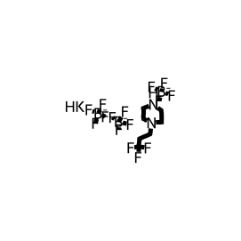 FC(F)(F)CCN1CCNCC1.F[B-](F)(F)F.F[B-](F)(F)F.F[B-](F)(F)F.[KH]